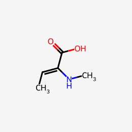 C/C=C(\NC)C(=O)O